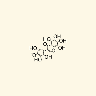 COc1c(O)cc(-c2coc3c(O)c(O)c(O)c(O)c3c2=O)c(O)c1O